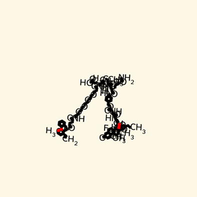 C=Cc1ccccc1CN(C(=O)CCC(=O)NCCOCCOCCOCCOCCC(=O)N[C@H](CCC(=O)O)C(=O)N[C@H](C(=O)N[C@@H](CCCNC(N)=O)C(=O)Nc1ccc(COC(=O)NCC(=O)NCOCC(=O)[C@@]23OC(CCC)O[C@@H]2C[C@H]2[C@@H]4C[C@H](F)C5=CC(=O)C=C[C@]5(C)[C@@]4(F)[C@@H](O)C[C@@]23C)cc1)C(C)C)c1ccccc1CC